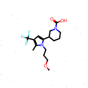 COCCCn1c(C2CCCN(C(=O)O)C2)cc(C(F)(F)F)c1C